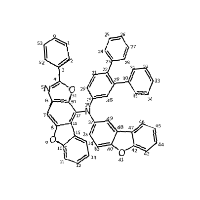 c1ccc(-c2nc3cc4oc5ccccc5c4c(N(c4ccc(-c5ccccc5)c(-c5ccccc5)c4)c4ccc5oc6ccccc6c5c4)c3o2)cc1